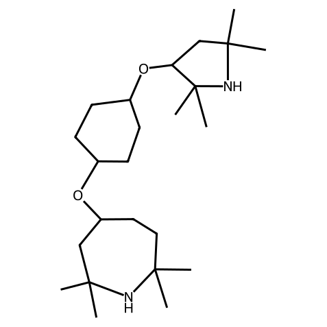 CC1(C)CCC(OC2CCC(OC3CC(C)(C)NC3(C)C)CC2)CC(C)(C)N1